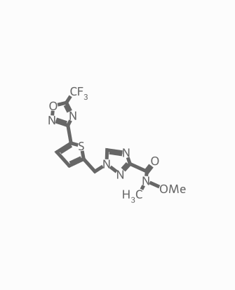 CON(C)C(=O)c1ncn(Cc2ccc(-c3noc(C(F)(F)F)n3)s2)n1